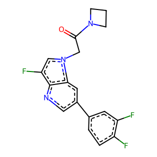 O=C(Cn1cc(F)c2ncc(-c3ccc(F)c(F)c3)cc21)N1CCC1